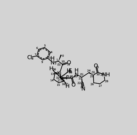 C[C@H](Nc1cccc(Cl)c1)C(=O)N1[C@H]2CC[C@@H]([C@@H]1C(=O)N[C@H](C#N)C[C@@H]1CCCNC1=O)C(F)(F)C2